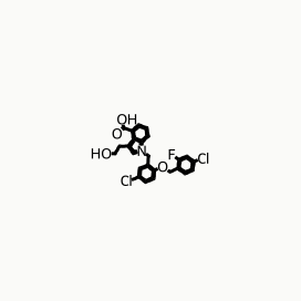 O=C(O)c1cccc2c1c(CCO)cn2Cc1cc(Cl)ccc1OCc1ccc(Cl)cc1F